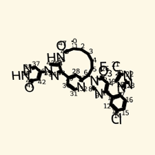 C[C@@H]1CCCC[C@H](n2cnc(-c3cc(Cl)ccc3-n3cc(C(F)(F)F)nn3)cc2=O)c2cc(ccn2)-c2nn(-c3cn[nH]c(=O)c3)cc2NC1=O